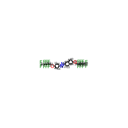 FC(F)C(F)(F)C(F)(F)C(F)(F)COc1ccc(/N=N/c2ccc3cc(OCC(F)(F)C(F)(F)C(F)(F)C(F)F)ccc3c2)cc1